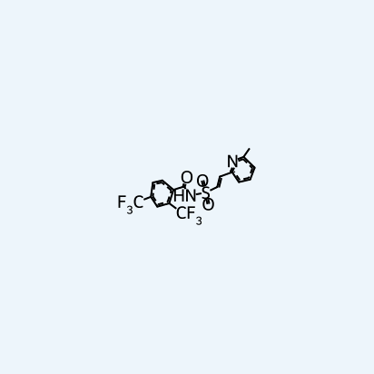 Cc1cccc(/C=C/S(=O)(=O)NC(=O)c2ccc(C(F)(F)F)cc2C(F)(F)F)n1